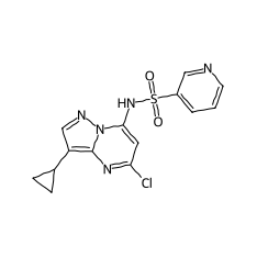 O=S(=O)(Nc1cc(Cl)nc2c(C3CC3)cnn12)c1cccnc1